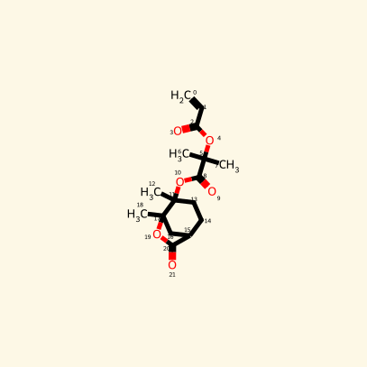 C=CC(=O)OC(C)(C)C(=O)OC1(C)CCC2CC1(C)OC2=O